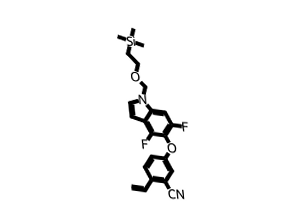 C=Cc1ccc(Oc2c(F)cc3c(ccn3COCC[Si](C)(C)C)c2F)cc1C#N